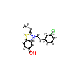 CC(=O)/C=C1\Sc2ccc(O)cc2N1CCc1cccc(Cl)c1